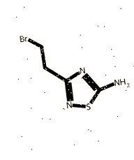 Nc1nc(CCBr)ns1